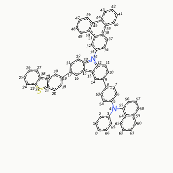 c1ccc(N(c2ccc(-c3ccc4c(c3)c3cc(-c5ccc6sc7ccccc7c6c5)ccc3n4-c3ccc4c5ccccc5c5ccccc5c4c3)cc2)c2cccc3ccccc23)cc1